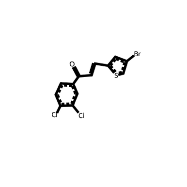 O=C(C=Cc1cc(Br)cs1)c1ccc(Cl)c(Cl)c1